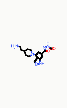 NCCC1CCN(c2cc(-c3n[nH]c(=O)o3)cc3[nH]ncc23)CC1